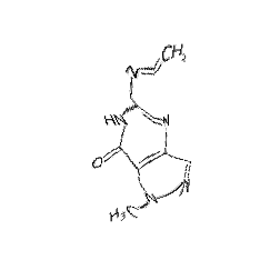 C=Nc1nc2cnn(C)c2c(=O)[nH]1